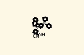 N#Cc1ccc(-n2c3ccc(N(c4ccccc4)c4ccccc4)cc3c3c4ccccc4ccc32)cc1C=N